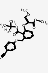 CO/C=C(/Oc1cccc(COc2ccc(C#N)cc2)c1C(=O)OC(C)(C)C)C(=O)OC